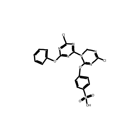 O=S(=O)(O)c1ccc(OC2=NC(Cl)=N[CH]N2c2nc(Cl)nc(Oc3ccccc3)n2)cc1